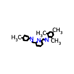 Cc1ccc(N=Cc2cccc(C=Nc3c(C)cc(C)cc3C)n2)cc1